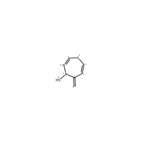 C=C1C=CSC=NN1S